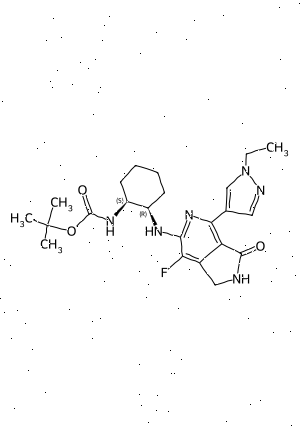 CCn1cc(-c2nc(N[C@@H]3CCCC[C@@H]3NC(=O)OC(C)(C)C)c(F)c3c2C(=O)NC3)cn1